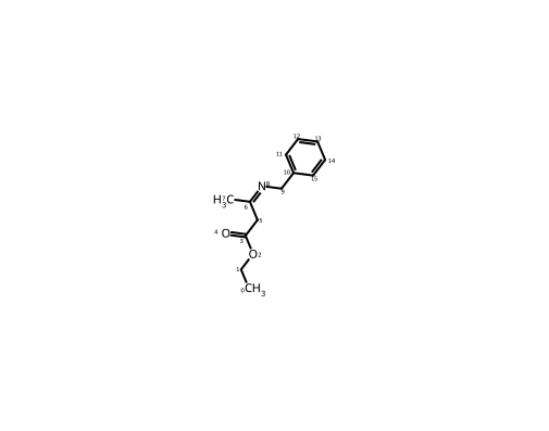 CCOC(=O)CC(C)=NCc1ccccc1